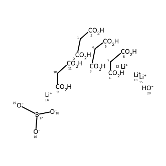 O=C(O)CC(=O)O.O=C(O)CC(=O)O.O=C(O)CC(=O)O.O=C(O)CC(=O)O.[Li+].[Li+].[Li+].[Li+].[O-]B([O-])[O-].[OH-]